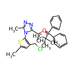 Cc1cc(CCl)c(-n2c(C)nnc2C(C)O[Si](c2ccccc2)(c2ccccc2)C(C)(C)C)s1